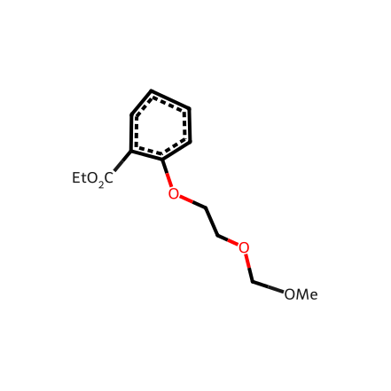 CCOC(=O)c1ccccc1OCCOCOC